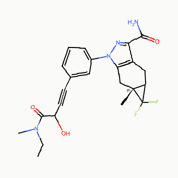 CCN(C)C(=O)C(O)C#Cc1cccc(-n2nc(C(N)=O)c3c2C[C@]2(C)C(C3)C2(F)F)c1